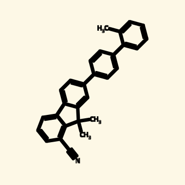 Cc1ccccc1-c1ccc(-c2ccc3c(c2)C(C)(C)c2c(C#N)cccc2-3)cc1